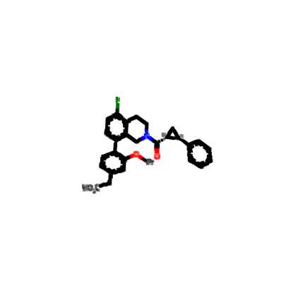 CC(C)Oc1cc(CC(=O)O)ccc1-c1ccc(F)c2c1CN(C(=O)[C@@H]1C[C@H]1c1ccccc1)CC2